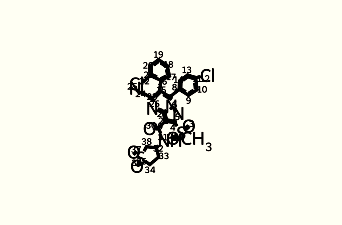 CS(=O)(=O)c1nn2c(-c3ccc(Cl)cc3)c(-c3ccccc3Cl)c(C#N)nc2c1C(=O)NC1CCS(=O)(=O)C1